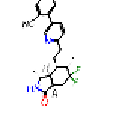 C[C@H]1NC(=O)[C@@H]2CC(F)(F)[C@@H](C)[C@H](CCc3ccc(-c4ccccc4C#N)cn3)[C@H]12